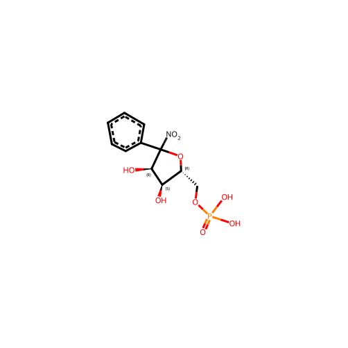 O=[N+]([O-])C1(c2ccccc2)O[C@H](COP(=O)(O)O)[C@@H](O)[C@H]1O